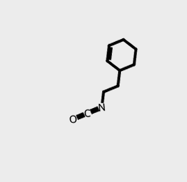 O=C=NCCC1C=CCCC1